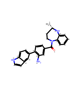 C[C@H]1CCN(C(=O)c2ccc(-c3ccc4[nH]ccc4c3)c(N)c2)c2ccccc2N1